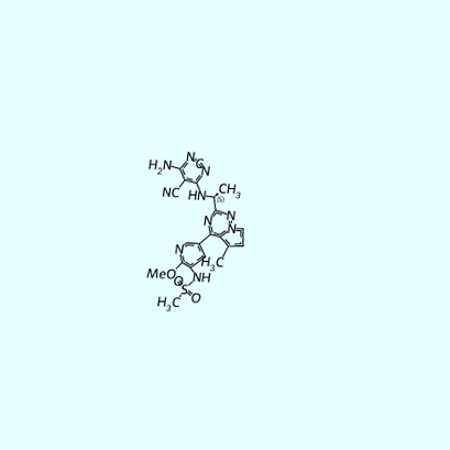 COc1ncc(-c2nc([C@H](C)Nc3ncnc(N)c3C#N)nn3ccc(C)c23)cc1NS(C)(=O)=O